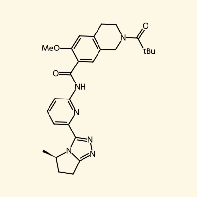 COc1cc2c(cc1C(=O)Nc1cccc(-c3nnc4n3[C@H](C)CC4)n1)CN(C(=O)C(C)(C)C)CC2